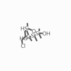 C[SiH](CCCCl)O[Si](C)([Si](C)(C)O)[Si](C)(C)O